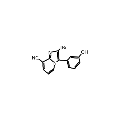 CC(C)(C)c1nc2c(C#N)cccn2c1-c1cccc(O)c1